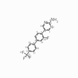 Nc1ncc(-c2ccc(-c3ccc(C(F)(F)F)cc3)cc2F)cn1